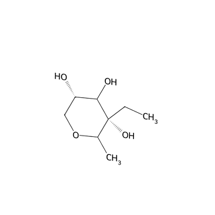 CC[C@@]1(O)C(C)OC[C@H](O)C1O